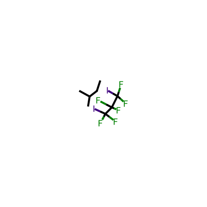 CCC(C)C.FC(F)(I)C(F)(F)C(F)(F)I